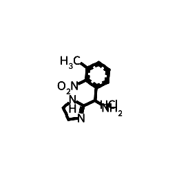 Cc1cccc(C(N)C2=NCCN2)c1[N+](=O)[O-].Cl